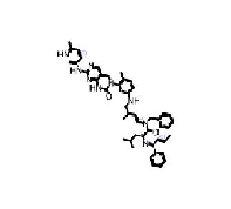 C=C(/C=C\C(C)=N)Nc1ncc2c(n1)NC(=O)N(c1cc(NCC(C)/C=C/N(Cc3ccccc3)C(=O)[C@H](CC(C)C)/N=C(\C=C\C)c3ccccc3)ccc1C)C2